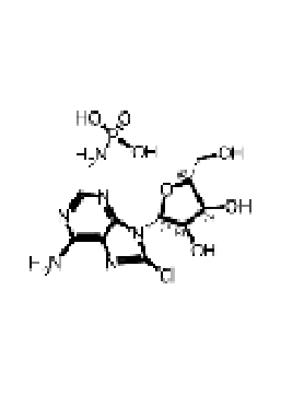 NP(=O)(O)O.Nc1ncnc2c1nc(Cl)n2[C@@H]1O[C@H](CO)[C@@H](O)[C@H]1O